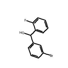 OC(c1cccc(Br)c1)c1ccccc1F